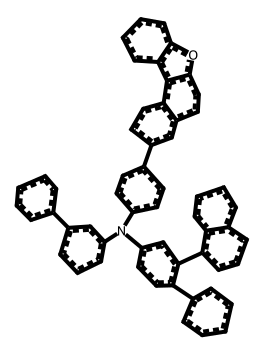 c1ccc(-c2cccc(N(c3ccc(-c4ccc5c(ccc6oc7ccccc7c65)c4)cc3)c3ccc(-c4ccccc4)c(-c4cccc5ccccc45)c3)c2)cc1